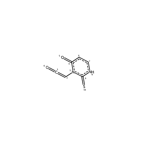 O=C=Cn1c(=O)cc[nH]c1=S